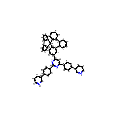 c1cncc(-c2ccc(-c3cc(-c4ccc5c(c4)-c4ccccc4-c4ccccc4C54c5ccccc5-c5ccccc54)nc(-c4ccc(-c5cccnc5)cc4)n3)cc2)c1